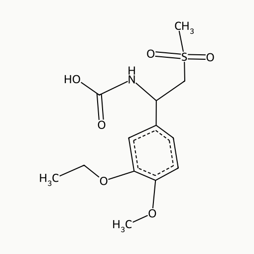 CCOc1cc(C(CS(C)(=O)=O)NC(=O)O)ccc1OC